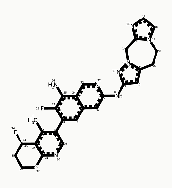 Cc1c(-c2cc3cc(Nc4cc5n(n4)Cc4nccn4CC5)ncc3c(N)c2F)cnc2c1[C@H](F)CCO2